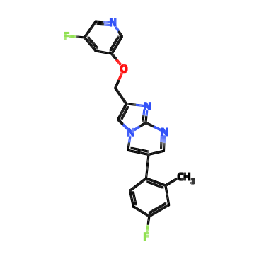 Cc1cc(F)ccc1-c1cnc2nc(COc3cncc(F)c3)cn2c1